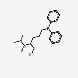 C[C@H](C(CBr)CCCP(c1ccccc1)c1ccccc1)N(C)C